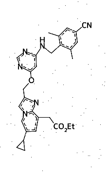 CCOC(=O)Cc1cc(C2CC2)cn2cc(COc3cc(NCc4c(C)cc(C#N)cc4C)ncn3)nc12